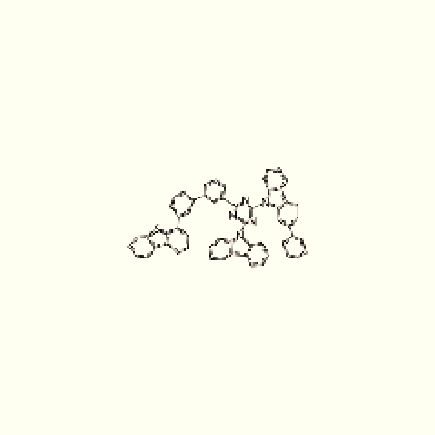 c1ccc(-c2ccc3c4ccccc4n(-c4nc(-c5cccc(-c6cccc(-c7cccc8c7sc7ccccc78)c6)c5)nc(-n5c6ccccc6c6ccccc65)n4)c3c2)cc1